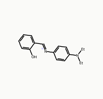 CCN(CC)c1ccc(/N=C/c2ccccc2O)cc1